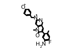 COc1ccc(CN(C)c2cc3c(cn2)cc(-c2cc(N)c(F)cc2C)c(=O)n3C)cc1